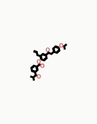 C=CCc1cc(C(=O)Cc2ccc(OC(C)C)cc2)ccc1OC(=O)c1cccc(C(=O)C(C)C)c1